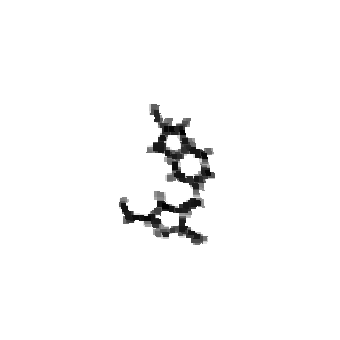 CSC1=NC(=O)C(=Cc2ccc3nc(C)oc3c2)S1